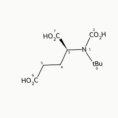 CC(C)(C)N(C(=O)O)[C@@H](CCC(=O)O)C(=O)O